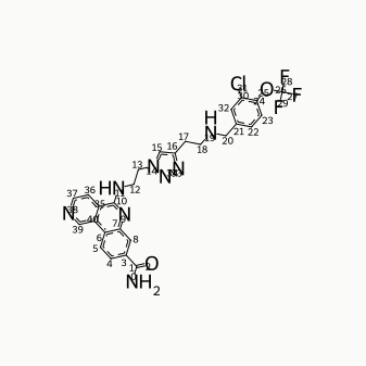 NC(=O)c1ccc2c(c1)nc(NCCn1cc(CCNCc3ccc(OC(F)(F)F)c(Cl)c3)nn1)c1ccncc12